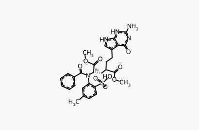 COC(=O)C(CCc1c[nH]c2[nH]c(N)nc(=O)c12)C[C@@H](C(=O)OC)N(C(=O)c1ccccc1)c1cc(C)ccc1S(=O)(=O)O